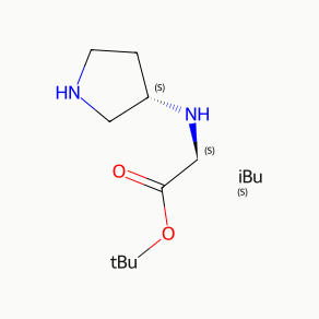 CC[C@H](C)[C@H](N[C@H]1CCNC1)C(=O)OC(C)(C)C